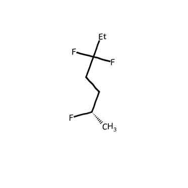 [CH2]CC(F)(F)CC[C@H](C)F